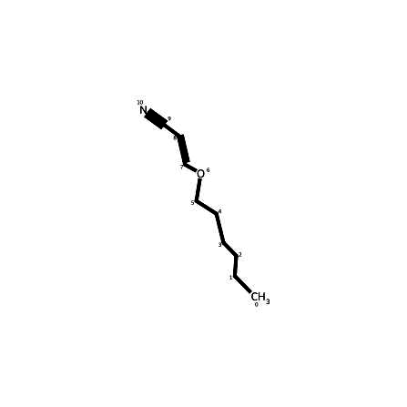 CCCCCCOC=CC#N